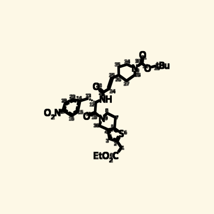 CCOC(=O)Cc1cc2c(s1)CCN(C(=O)[C@H](Cc1ccc([N+](=O)[O-])cc1)NC(=O)C=CC1CCN(C(=O)OC(C)(C)C)CC1)C2